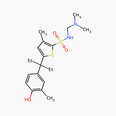 CCC(CC)(c1ccc(O)c(C)c1)c1cc(C)c(S(=O)(=O)NCN(C)C)s1